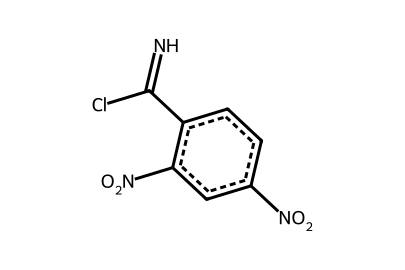 N=C(Cl)c1ccc([N+](=O)[O-])cc1[N+](=O)[O-]